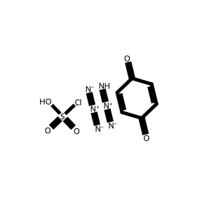 O=C1C=CC(=O)C=C1.O=S(=O)(O)Cl.[N-]=[N+]=N.[N-]=[N+]=[N-]